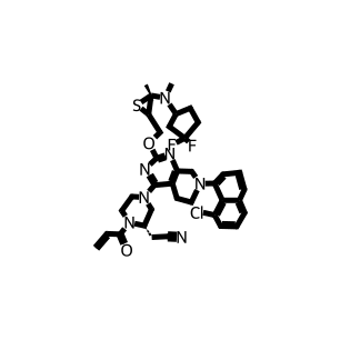 C=CC(=O)N1CCN(c2nc(OCC3S[C@]3(C)N(C)C3CCC(F)(F)C3)nc3c2CCN(c2cccc4cccc(Cl)c24)C3)C[C@@H]1CC#N